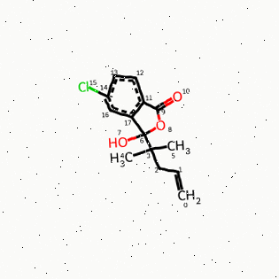 C=CCC(C)(C)C1(O)OC(=O)c2ccc(Cl)cc21